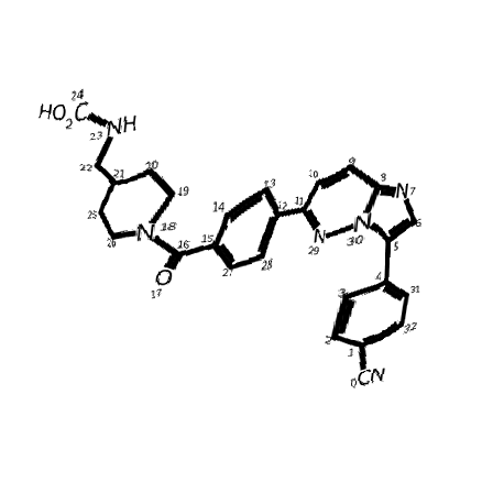 N#Cc1ccc(-c2cnc3ccc(-c4ccc(C(=O)N5CCC(CNC(=O)O)CC5)cc4)nn23)cc1